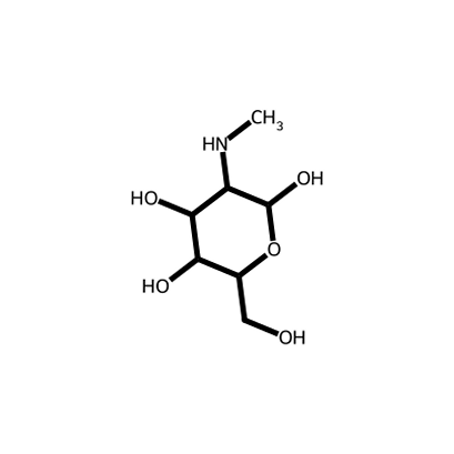 CNC1C(O)OC(CO)C(O)C1O